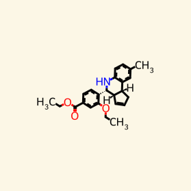 CCOC(=O)c1ccc([C@@H]2Nc3ccc(C)cc3[C@@H]3CC=C[C@@H]32)c(OCC)c1